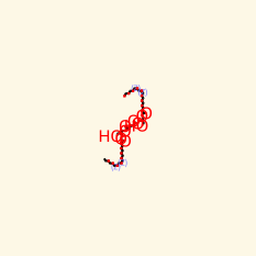 CCCCC/C=C\C/C=C\CCCCCCCC(=O)OCC(CO)COC(=O)CCCC(=O)OCC(CO)COC(=O)CCCCCCC/C=C\C/C=C\CCCCC